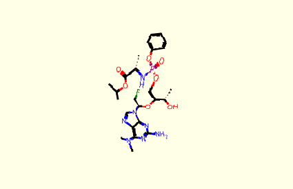 CC(C)OC(=O)[C@H](C)N[P@@](=O)(OCC(O[C@H](CF)n1cnc2c(N(C)C)nc(N)nc21)[C@H](C)O)Oc1ccccc1